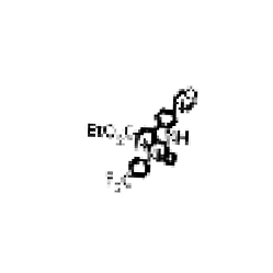 CCOC(=O)c1cc(-c2ccc(N3CCOCC3)cc2)c(C(=N)C2CCC2)c(Nc2ccc(C(F)(F)F)cc2)n1